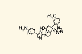 Cc1ccc(-n2cnnn2)c(-c2cc(=O)n3c(n2)CC[C@H]3c2ncc(-c3ccc(N)nc3)[nH]2)c1